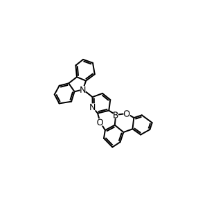 c1ccc2c(c1)OB1c3ccc(-n4c5ccccc5c5ccccc54)nc3Oc3cccc-2c31